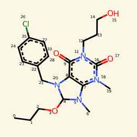 CCCOC1N(C)c2c(c(=O)n(CCCO)c(=O)n2C)N1Cc1ccc(Cl)cc1